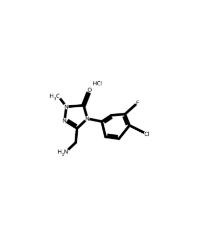 Cl.Cn1nc(CN)n(-c2ccc(Cl)c(F)c2)c1=O